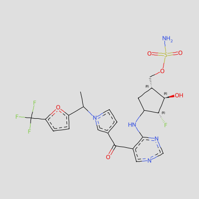 CC(c1ccc(C(F)(F)F)o1)n1ccc(C(=O)c2cncnc2NC2C[C@H](COS(N)(=O)=O)[C@@H](O)[C@@H]2F)c1